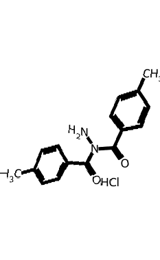 Cc1ccc(C(=O)N(N)C(=O)c2ccc(C)cc2)cc1.Cl